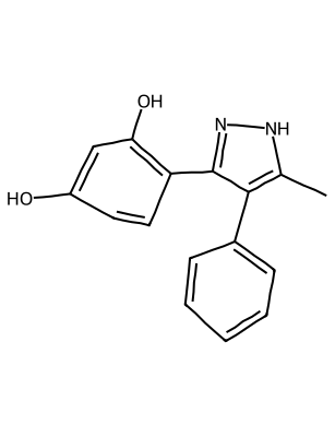 Cc1[nH]nc(-c2ccc(O)cc2O)c1-c1ccccc1